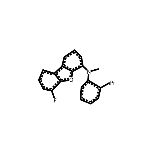 CC(C)c1ccccc1N(C)c1cccc2c1oc1c(F)cccc12